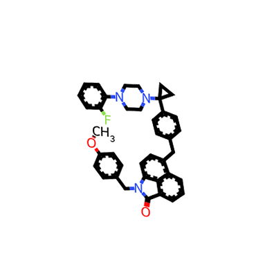 COc1ccc(CN2C(=O)c3cccc4c(Cc5ccc(C6(N7CCN(c8ccccc8F)CC7)CC6)cc5)ccc2c34)cc1